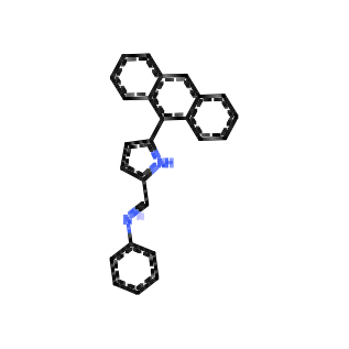 C(=N\c1ccccc1)/c1ccc(-c2c3ccccc3cc3ccccc23)[nH]1